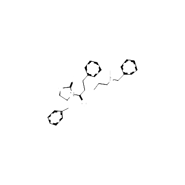 O=C1OC[C@@H](Cc2ccccc2)N1C(=O)[C@@H](CCCNCc1ccccc1)Cc1ccccc1